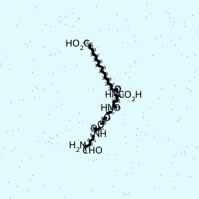 N[C@H](C=O)CCCCNC(=O)COCCOCCNC(=O)CC[C@H](NC(=O)CCCCCCCCCCCCCCCCC(=O)O)C(=O)O